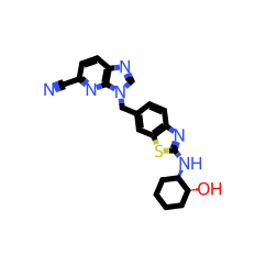 N#Cc1ccc2ncn(Cc3ccc4nc(N[C@@H]5CCCC[C@H]5O)sc4c3)c2n1